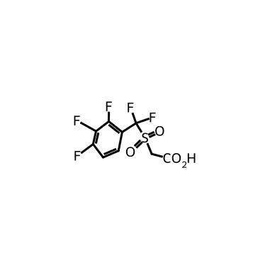 O=C(O)CS(=O)(=O)C(F)(F)c1ccc(F)c(F)c1F